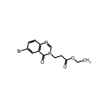 CCOC(=O)CCn1cnc2ccc(Br)cc2c1=O